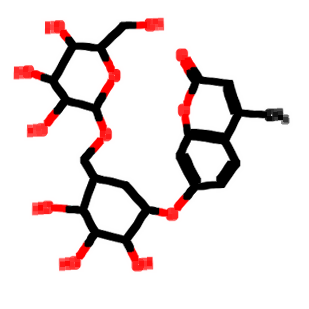 Cc1cc(=O)oc2cc(OC3CC(COC4OC(CO)C(O)C(O)C4O)C(O)C(O)C3O)ccc12